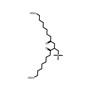 CCCCCCCCCCCCCCCCCC(=O)CC(C[N+](C)(C)C)C(=O)CCCCCCCCCCCCCCCCC